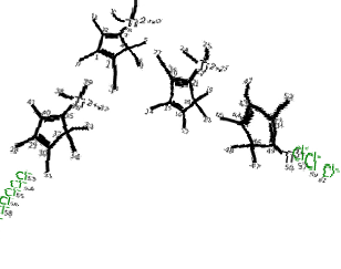 CC1=C(C)C(C)(C)[C]([Ti+2]([CH3])([CH3])[CH3])=C1C.CC1=C(C)C(C)(C)[C]([Ti+2]([CH3])([CH3])[CH3])=C1C.CC1=C(C)C(C)(C)[C]([Ti+2]([CH3])([CH3])[CH3])=C1C.CC1=C(C)C(C)(C)[C]([Ti+3])=C1C.[Cl-].[Cl-].[Cl-].[Cl-].[Cl-].[Cl-].[Cl-].[Cl-].[Cl-]